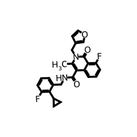 Cc1c(C(=O)NCc2cccc(F)c2C2CC2)c2cccc(F)c2c(=O)n1Cc1ccoc1